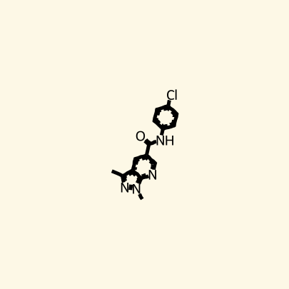 Cc1nn(C)c2ncc(C(=O)Nc3ccc(Cl)cc3)cc12